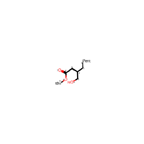 CCCC(C)CC(CO)CC(=O)OC(C)(C)C